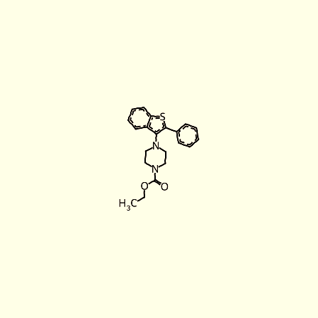 CCOC(=O)N1CCN(c2c(-c3ccccc3)sc3ccccc23)CC1